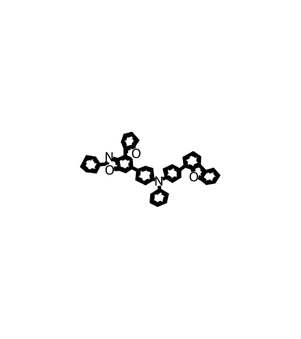 c1ccc(-c2nc3c(cc(-c4ccc(N(c5ccccc5)c5ccc(-c6cccc7c6oc6ccccc67)cc5)cc4)c4oc5ccccc5c43)o2)cc1